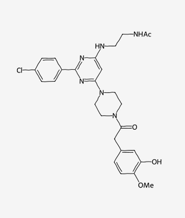 COc1ccc(CC(=O)N2CCN(c3cc(NCCNC(C)=O)nc(-c4ccc(Cl)cc4)n3)CC2)cc1O